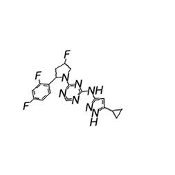 Fc1ccc(C2CC(F)CN2c2ncnc(Nc3cc(C4CC4)[nH]n3)n2)c(F)c1